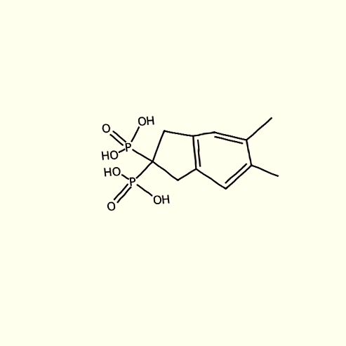 Cc1cc2c(cc1C)CC(P(=O)(O)O)(P(=O)(O)O)C2